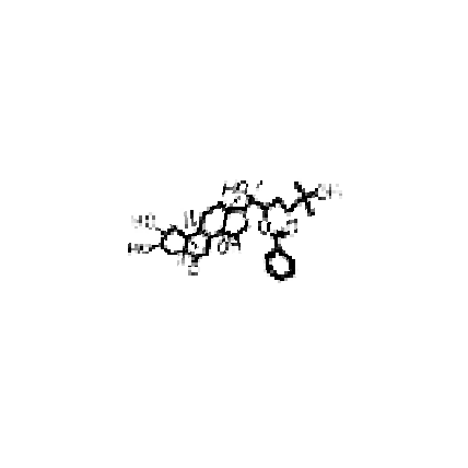 CC(C)(O)CCC(OC(=O)c1ccccc1)[C@](C)(O)[C@H]1CC[C@@]2(O)C3=CC(=O)[C@@H]4C[C@@H](O)[C@@H](O)C[C@]4(C)[C@H]3CC[C@]12C